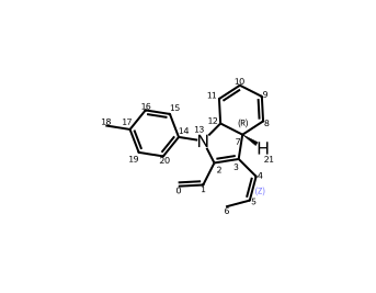 C=CC1=C(/C=C\C)[C@H]2C=CC=CC2N1c1ccc(C)cc1